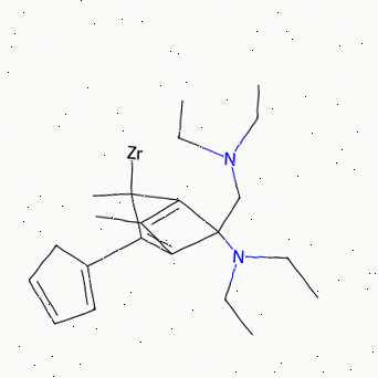 CCN(CC)CC1(N(CC)CC)C2=C(C3=CC=CC3)[C](C)([Zr])C1=C2C